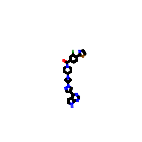 O=C(c1ccc(-c2nccs2)c(F)c1)N1CCC(N2C[C](n3cc(-c4ncnc5[nH]ccc45)cn3)C2)CC1